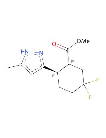 COC(=O)[C@@H]1CC(F)(F)CC[C@H]1c1cc(C)[nH]n1